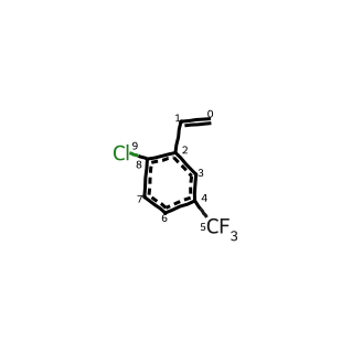 C=Cc1cc(C(F)(F)F)ccc1Cl